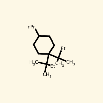 CCCC1CCC(C(C)(C)CC)(C(C)(C)CC)CC1